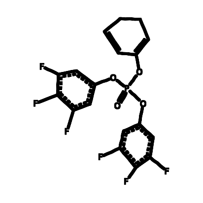 O=P(OC1=CCCC=C1)(Oc1cc(F)c(F)c(F)c1)Oc1cc(F)c(F)c(F)c1